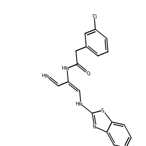 N=C/C(=C\Nc1nc2ccccc2s1)NC(=O)Cc1cccc(Cl)c1